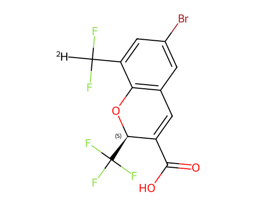 [2H]C(F)(F)c1cc(Br)cc2c1O[C@H](C(F)(F)F)C(C(=O)O)=C2